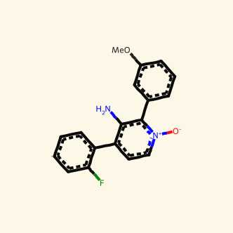 COc1cccc(-c2c(N)c(-c3cc[c]cc3F)cc[n+]2[O-])c1